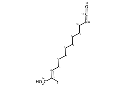 CC(=CCCCCCCCCN=C=O)C(=O)O